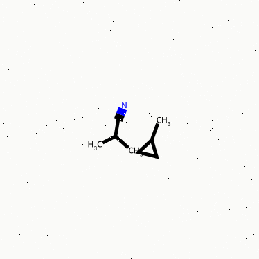 CC(C)C#N.CC1CC1